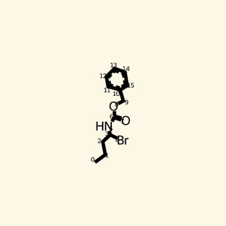 CCCC(Br)NC(=O)OCc1ccccc1